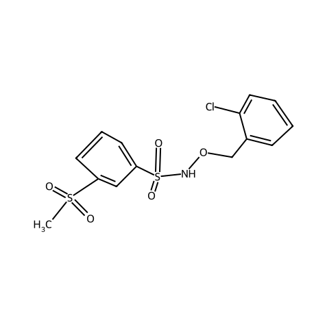 CS(=O)(=O)c1cccc(S(=O)(=O)NOCc2ccccc2Cl)c1